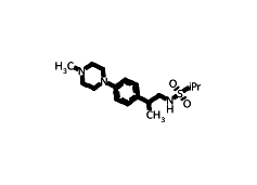 CC(CNS(=O)(=O)C(C)C)c1ccc(N2CCN(C)CC2)cc1